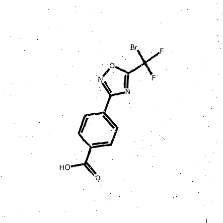 O=C(O)c1ccc(-c2noc(C(F)(F)Br)n2)cc1